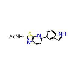 CC(=O)Nc1nc2ccc(-c3ccc4[nH]ccc4c3)nc2s1